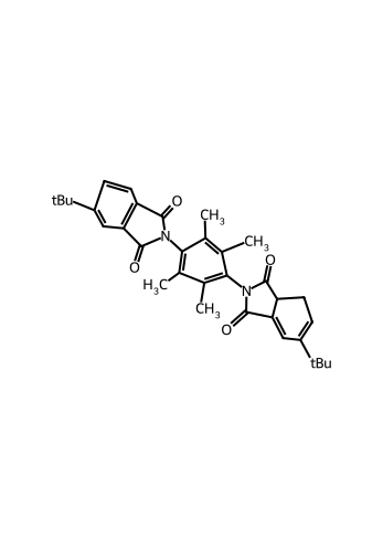 Cc1c(C)c(N2C(=O)C3=CC(C(C)(C)C)=CCC3C2=O)c(C)c(C)c1N1C(=O)c2ccc(C(C)(C)C)cc2C1=O